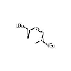 C=C(/C=C\N(C)C(C)(C)C)C(C)(C)C